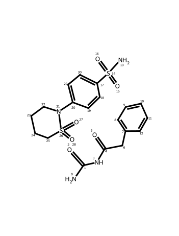 NC(=O)NC(=O)Cc1ccccc1.NS(=O)(=O)c1ccc(N2CCCCS2(=O)=O)cc1